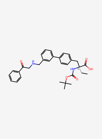 CC[C@@](Cc1ccc(-c2cccc(CNCC(=O)c3ccccc3)c2)cc1)(NC(=O)OC(C)(C)C)C(=O)O